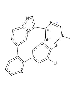 CN(C)/C=N\[C@@H](O)c1cnc2ccc(-c3cccnc3-c3ccc(F)c(Cl)c3)cn12